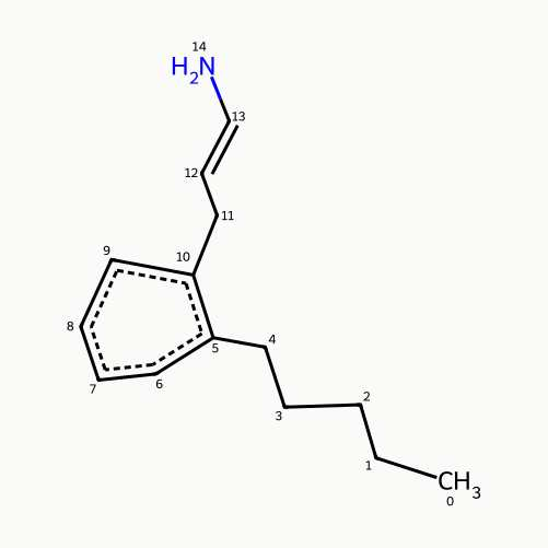 CCCCCc1ccccc1CC=CN